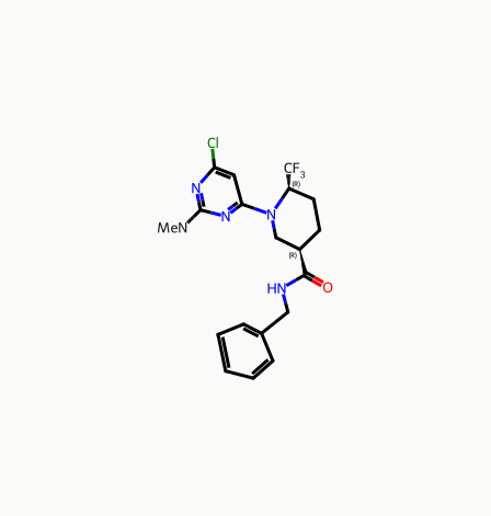 CNc1nc(Cl)cc(N2C[C@H](C(=O)NCc3ccccc3)CC[C@@H]2C(F)(F)F)n1